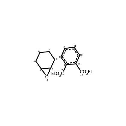 C1CCC2OC2C1.CCOC(=O)c1ccccc1C(=O)OCC